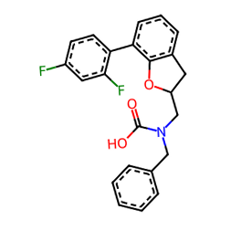 O=C(O)N(Cc1ccccc1)CC1Cc2cccc(-c3ccc(F)cc3F)c2O1